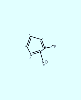 O=Nc1ncccc1Cl